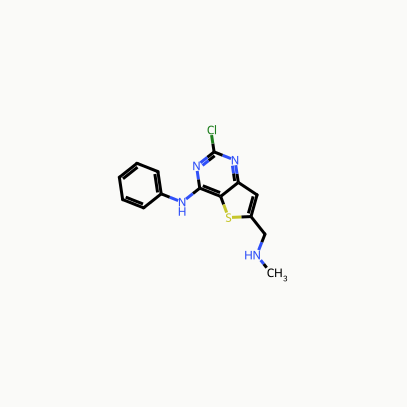 CNCc1cc2nc(Cl)nc(Nc3ccccc3)c2s1